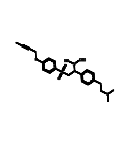 CC#CCOc1ccc(S(=O)(=O)CC(c2ccc(CCN(C)C)cc2)N(O)C=O)cc1